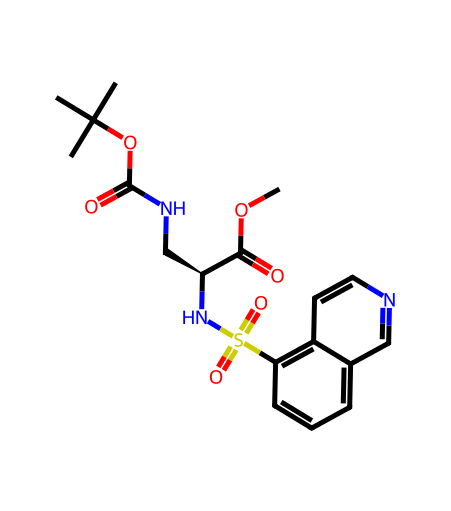 COC(=O)[C@H](CNC(=O)OC(C)(C)C)NS(=O)(=O)c1cccc2cnccc12